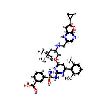 Cc1cccc(C)c1-c1cc(OCC(CC(C)(C)C)NCc2cnc3oc(C4CC4)cc3n2)nc(NS(=N)(=O)c2cccc(C(=O)O)c2)n1